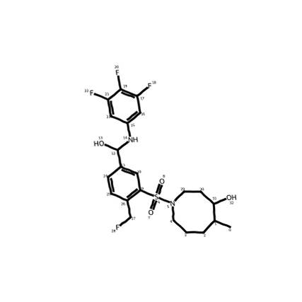 CC1CCCN(S(=O)(=O)c2cc(C(O)Nc3cc(F)c(F)c(F)c3)ccc2CF)CCC1O